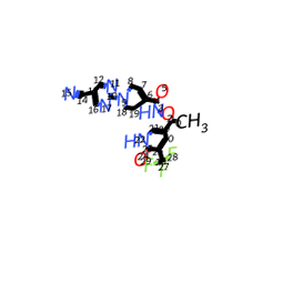 CC(ONC(=O)C1=CCN(c2ncc(C#N)cn2)CC1)c1c[nH]c(=O)c(C(F)(F)F)c1